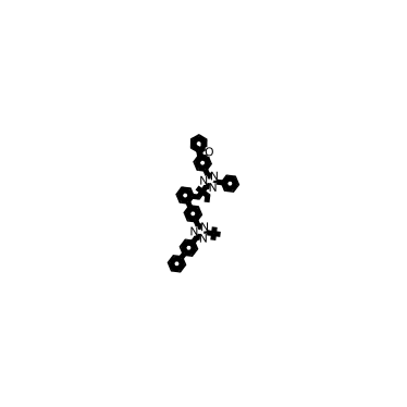 CCC(C)(Cc1ccccc1-c1ccc(-c2nc(-c3ccc(-c4ccccc4)cc3)nc(C(C)(C)C)n2)cc1)c1nc(-c2ccccc2)nc(-c2ccc3c(c2)oc2ccccc23)n1